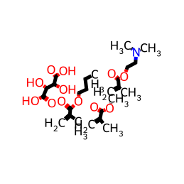 C=C(C)C(=O)OC.C=C(C)C(=O)OCCCC.C=C(C)C(=O)OCCN(C)C.O=C(O)C(O)C(O)C(=O)O